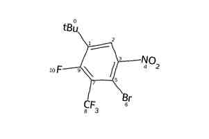 CC(C)(C)c1cc([N+](=O)[O-])c(Br)c(C(F)(F)F)c1F